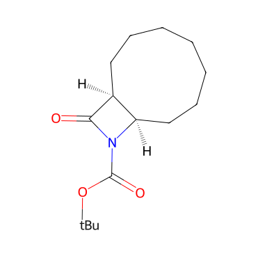 CC(C)(C)OC(=O)N1C(=O)[C@H]2CCCCCCC[C@H]21